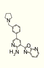 Nc1ncc(-c2cccc(CN3CCCC3)c2)cc1-c1nc2cccnc2o1